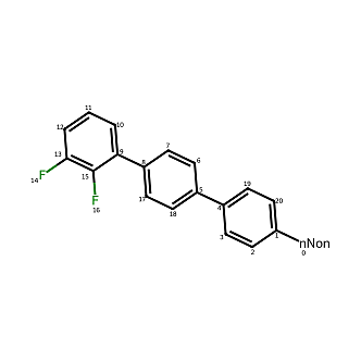 CCCCCCCCCc1ccc(-c2ccc(-c3cccc(F)c3F)cc2)cc1